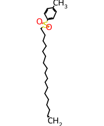 C=CCCCCCCCCCCCCCCCCS(=O)(=O)c1ccc(C)cc1